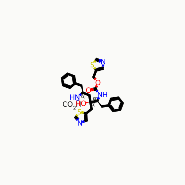 O=C(O)N[C@@H](Cc1ccccc1)C[C@](O)(Cc1cncs1)[C@H](Cc1ccccc1)NC(=O)OCc1cncs1